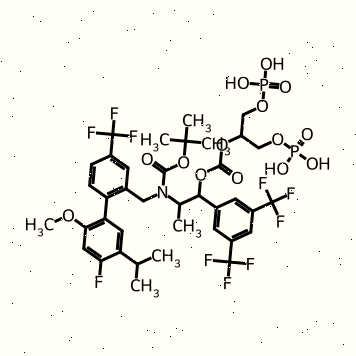 COc1cc(F)c(C(C)C)cc1-c1ccc(C(F)(F)F)cc1CN(C(=O)OC(C)(C)C)C(C)C(OC(=O)OC(COP(=O)(O)O)COP(=O)(O)O)c1cc(C(F)(F)F)cc(C(F)(F)F)c1